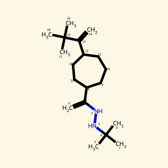 C=C(NNC(C)(C)C)C1CCCC(C(=C)C(C)(C)C)CC1